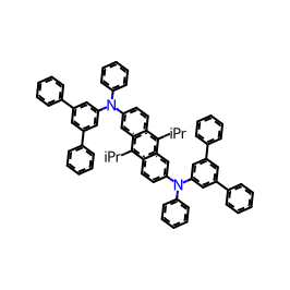 CC(C)c1c2ccc(N(c3ccccc3)c3cc(-c4ccccc4)cc(-c4ccccc4)c3)cc2c(C(C)C)c2ccc(N(c3ccccc3)c3cc(-c4ccccc4)cc(-c4ccccc4)c3)cc12